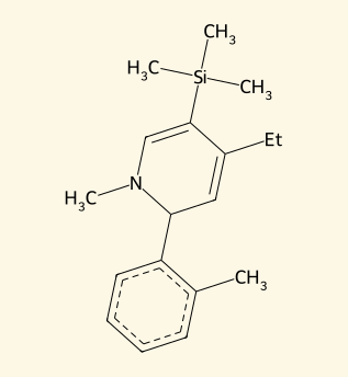 CCC1=CC(c2ccccc2C)N(C)C=C1[Si](C)(C)C